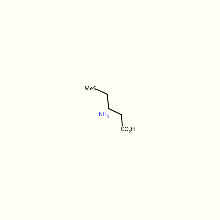 CSCCCC(=O)O.N